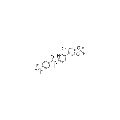 O=C(Nc1ccc(-c2cc3c(cc2Cl)OC(F)(F)O3)cn1)c1ccc(C(F)(F)F)cc1